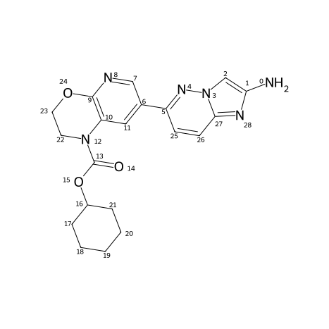 Nc1cn2nc(-c3cnc4c(c3)N(C(=O)OC3CCCCC3)CCO4)ccc2n1